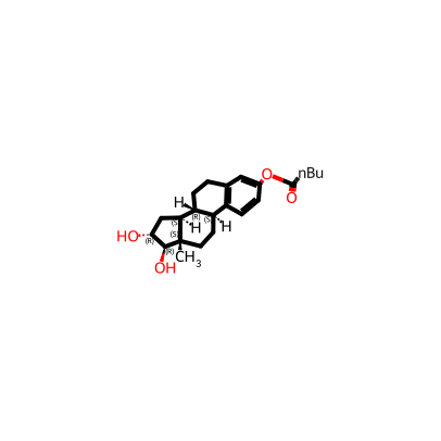 CCCCC(=O)Oc1ccc2c(c1)CC[C@@H]1[C@@H]2CC[C@]2(C)[C@@H](O)[C@H](O)C[C@@H]12